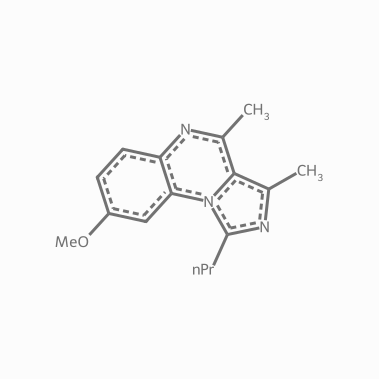 CCCc1nc(C)c2c(C)nc3ccc(OC)cc3n12